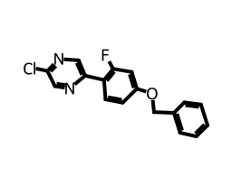 Fc1cc(OCc2ccccc2)ccc1-c1cnc(Cl)cn1